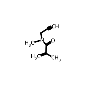 C#CCN(C)C(=O)C(=C)C